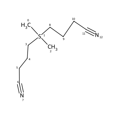 CS(C)(CCCC#N)CCCC#N